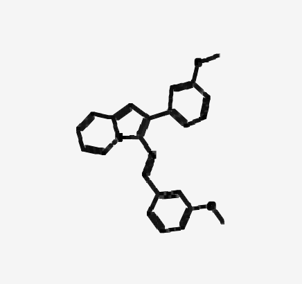 COc1cccc(C=Nc2c(-c3cccc(OC)c3)cc3ccccn23)c1